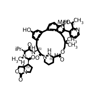 CCn1c(-c2cccnc2[C@H](C)OC)c2c3cc(ccc31)-c1cc(O)cc(c1)C[C@H](NC(=O)[C@H](C(C)C)N(C)C(=O)[C@H]1CCN3C(=O)OC[C@@H]13)C(=O)N1CCC[C@H](N1)C(=O)OCC(C)(C)C2